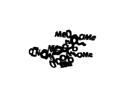 C=CCc1c(OC)cc(OC)c(F)c1C(=O)c1oc2cnc(N(C(=O)OC(C)(C)C)c3ccc(N4CCOCC4)cc3N)cc2c1N(CCOC)C(=O)OC(C)(C)C